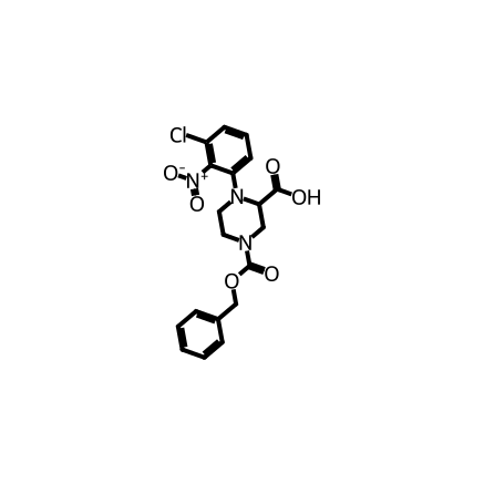 O=C(O)C1CN(C(=O)OCc2ccccc2)CCN1c1cccc(Cl)c1[N+](=O)[O-]